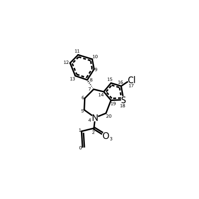 C=CC(=O)N1CC[C@H](c2ccccc2)c2cc(Cl)sc2C1